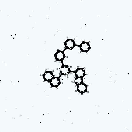 c1ccc(-c2cccc(-c3cccc(-c4nc(-c5cccc6ccccc56)nc(-c5cccc6c5sc5ccccc56)n4)c3)c2)cc1